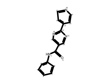 O=C(Nc1ccccc1)c1cnc(-c2ccncc2)nc1